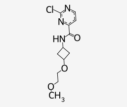 COCCOC1CC(NC(=O)c2ccnc(Cl)n2)C1